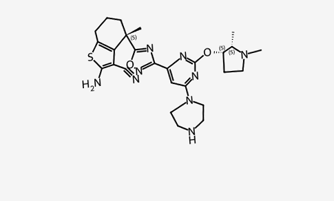 C[C@H]1[C@@H](Oc2nc(-c3noc([C@@]4(C)CCCc5sc(N)c(C#N)c54)n3)cc(N3CCNCC3)n2)CCN1C